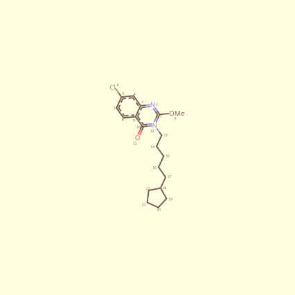 COc1nc2cc(Cl)ccc2c(=O)n1CCCCCC1CCCC1